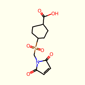 O=C(O)C1CCC(S(=O)(=O)CN2C(=O)C=CC2=O)CC1